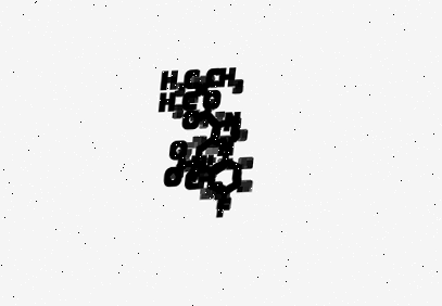 CC(C)(C)OC(=O)c1ncn2c1C[N+](C)(C(=O)[O-])c1cc(F)ccc1-2